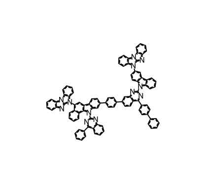 c1ccc(-c2ccc(-c3nc(-n4c5ccccc5c5cc(-n6c7ccccc7n7c8ccccc8nc67)ccc54)nc4cc(-c5ccc(-c6ccc7c8cc(-n9c%10ccccc%10n%10c%11ccccc%11nc9%10)c9ccccc9c8n(-c8nc(-c9ccccc9)c9ccccc9n8)c7c6)cc5)ccc34)cc2)cc1